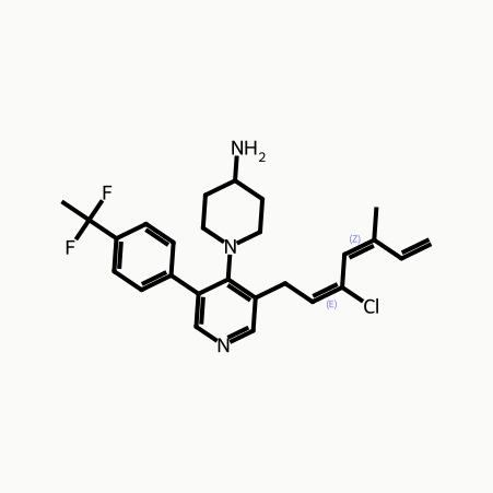 C=C/C(C)=C\C(Cl)=C/Cc1cncc(-c2ccc(C(C)(F)F)cc2)c1N1CCC(N)CC1